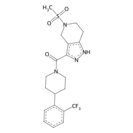 CS(=O)(=O)N1CCc2[nH]nc(C(=O)N3CCC(c4ccccc4C(F)(F)F)CC3)c2C1